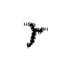 C=C(CO)C(=O)OCOc1cc(OCOC(=O)C(=C)CO)cc(-c2ccc(-c3ccc(C4CCC(CCC=C(F)F)CC4)cc3)cc2)c1